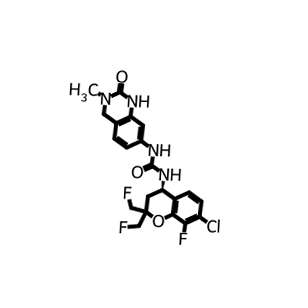 CN1Cc2ccc(NC(=O)N[C@@H]3CC(CF)(CF)Oc4c3ccc(Cl)c4F)cc2NC1=O